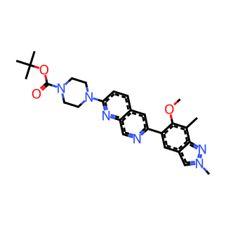 COc1c(-c2cc3ccc(N4CCN(C(=O)OC(C)(C)C)CC4)nc3cn2)cc2cn(C)nc2c1C